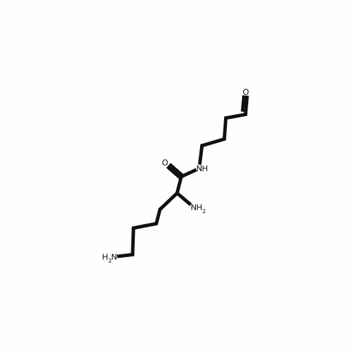 NCCCCC(N)C(=O)NCCCC=O